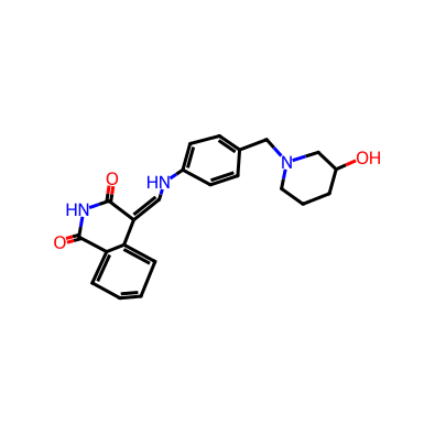 O=C1NC(=O)c2ccccc2C1=CNc1ccc(CN2CCCC(O)C2)cc1